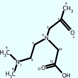 CC(=O)CN(CCN(C)C)CC(=O)O